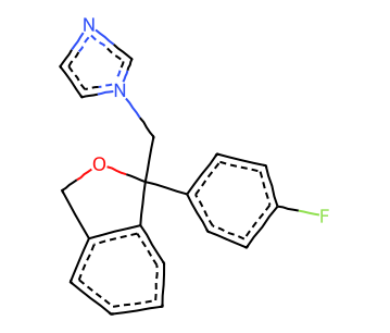 Fc1ccc(C2(Cn3ccnc3)OCc3ccccc32)cc1